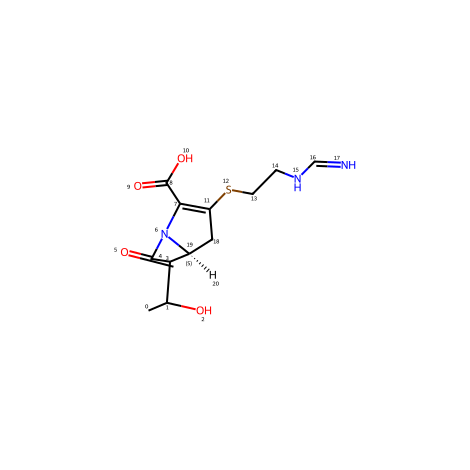 CC(O)C1C(=O)N2C(C(=O)O)=C(SCCNC=N)C[C@@H]12